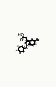 O=C(O)Cc1cn(CC2CCCCC2)c2ccc(Br)cc12